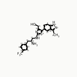 Cc1n[nH]c2ccc(-c3sc(NC[C@H](N)Cc4ccc(C(F)(F)F)cc4)nc3CO)cc12